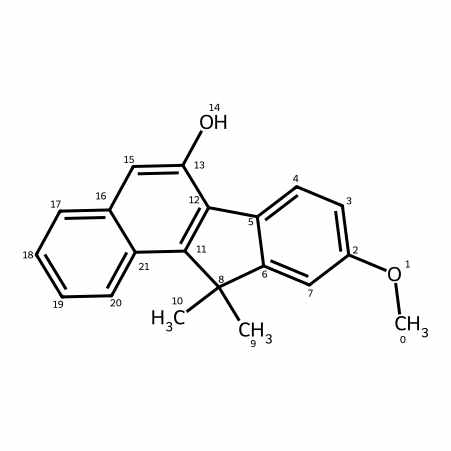 COc1ccc2c(c1)C(C)(C)c1c-2c(O)cc2ccccc12